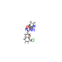 Clc1cccc2cc(C3=NO[C@]4(CN5CCC4CC5)N3)sc12